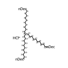 CCCCCCCCCCCCCCCCCCC[CH2][Sn]([CH2]CCCCCCCCCCCCCCCCCCC)[CH2]CCCCCCCCCCCCCCCCCCC.Cl